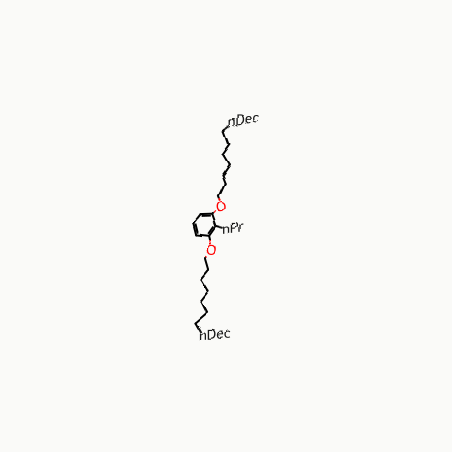 [CH2]CCc1c(OCCCCCCCCCCCCCCCCC)cccc1OCCCCCCCCCCCCCCCCC